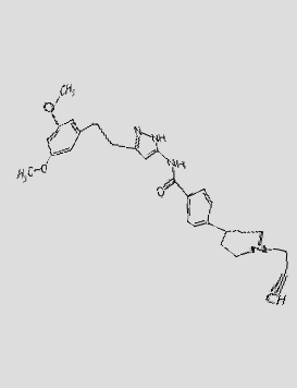 C#CCN1CCC(c2ccc(C(=O)Nc3cc(CCc4cc(OC)cc(OC)c4)n[nH]3)cc2)CC1